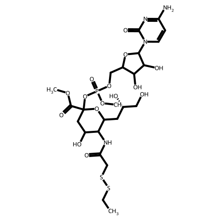 CCSSCC(=O)NC1C(O)CC(OP(=O)(OC)OCC2OC(n3ccc(N)nc3=O)C(O)C2O)(C(=O)OC)OC1C[C@H](O)CO